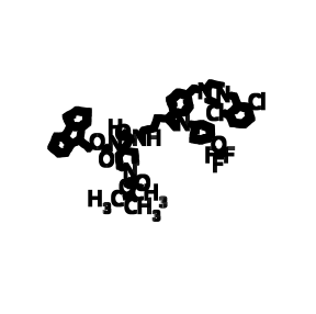 CC(C)(C)OC(=O)N1CCC(NC(=O)OCC2c3ccccc3-c3ccccc32)(C(=O)NCCCc2cn(-c3ccc(OC(F)(F)F)cc3)c3cc(CN4CCN(Cc5c(Cl)cccc5Cl)CC4)ccc23)CC1